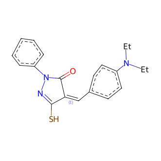 CCN(CC)c1ccc(/C=C2\C(=O)N(c3ccccc3)N=C2S)cc1